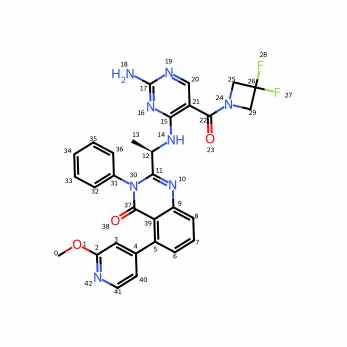 COc1cc(-c2cccc3nc([C@@H](C)Nc4nc(N)ncc4C(=O)N4CC(F)(F)C4)n(-c4ccccc4)c(=O)c23)ccn1